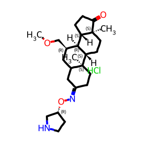 COC[C@@H]1CC2CC(=NO[C@@H]3CCNC3)CC[C@]2(C)[C@H]2CC[C@]3(C)C(=O)CC[C@H]3[C@H]12.Cl